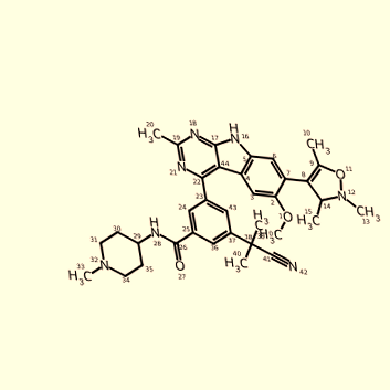 COc1cc2c(cc1C1=C(C)ON(C)C1C)[nH]c1nc(C)nc(-c3cc(C(=O)NC4CCN(C)CC4)cc(C(C)(C)C#N)c3)c12